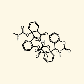 CNC(=O)OC1(C(=O)c2ccccc2OC(=O)OC)C=CC=CC1C(=O)OOC(=O)C1C=CC=CC1(OC(=O)NC)C(=O)c1ccccc1OC(=O)OC